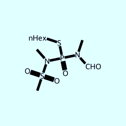 CCCCCCSP(=O)(N(C)C=O)N(C)S(C)(=O)=O